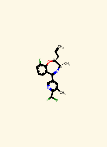 C=CC[C@@H]1Oc2c(F)cccc2C(c2cnc(C(F)F)c(C)c2)=N[C@H]1C